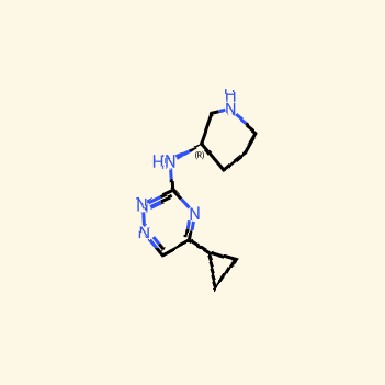 c1nnc(N[C@@H]2CCCNC2)nc1C1CC1